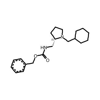 O=C(NC[C@@H]1CCCN1CC1CCCCC1)OCc1ccccc1